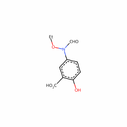 CCON(C=O)c1ccc(O)c(C(=O)O)c1